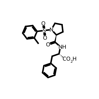 Cc1ccccc1S(=O)(=O)N1CCC[C@H]1C(=O)N[C@@H](Cc1ccccc1)C(=O)O